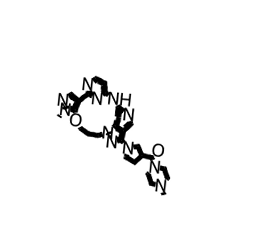 CN1CCN(C(=O)C2CCN(c3nn4c5cc(ncc35)Nc3ccnc(n3)-c3cnn(C)c3OCCC4)C2)CC1